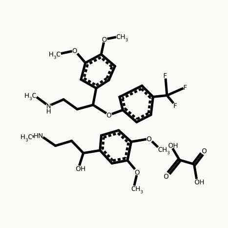 CNCCC(O)c1ccc(OC)c(OC)c1.CNCCC(Oc1ccc(C(F)(F)F)cc1)c1ccc(OC)c(OC)c1.O=C(O)C(=O)O